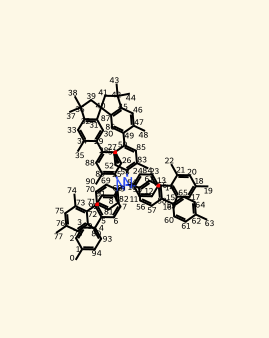 Cc1ccc(-c2ccc(N(c3ccc(-c4c(C)cc(C)cc4C)cc3)c3ccc(-c4cc5c(cc4C)C(C)(C)CC54CC(C)(C)c5cc(C)c(-c6ccc(N(c7ccc(-c8ccc(C)cc8)cc7)c7ccc(-c8c(C)cc(C)cc8C)cc7)c(C)c6)cc54)cc3C)cc2)cc1